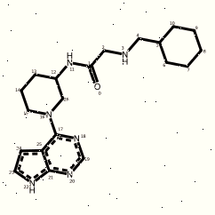 O=C(CNCC1CCCCC1)NC1CCCN(c2ncnc3[nH]ccc23)C1